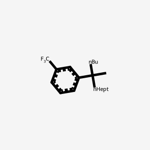 CCCCCCCC(C)(CCCC)c1cccc(C(F)(F)F)c1